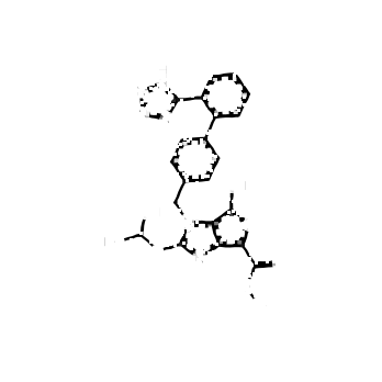 COC(=O)c1sc(C)c2c1nc(SC(C)C)n2Cc1ccc(-c2ccccc2-c2nnn[nH]2)cc1